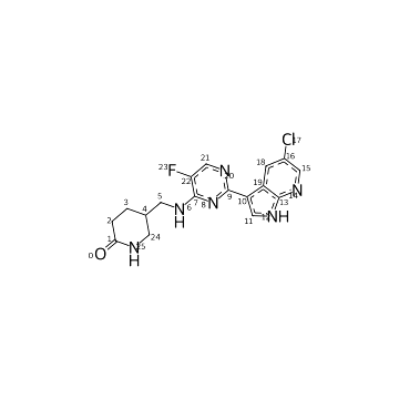 O=C1CCC(CNc2nc(-c3c[nH]c4ncc(Cl)cc34)ncc2F)CN1